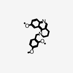 COc1ccc(CN2CCCc3cnc4ccc(OC)cc4c32)c(OC)c1